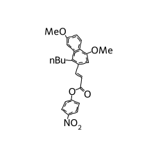 CCCCc1c(C=CC(=O)Oc2ccc([N+](=O)[O-])cc2)cc(OC)c2ccc(OC)cc12